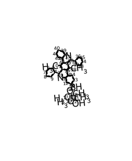 Cc1c2c(-c3ccccc3)nc3cc(BOC(C)(C)C(C)(C)O)ccc3c2c(C)c2c(-c3ccccc3)nc3ccccc3c12